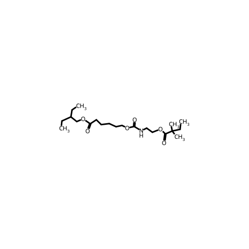 CCC(CC)COC(=O)CCCCCOC(=O)NCCOC(=O)C(C)(C)CC